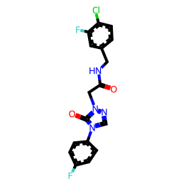 O=C(Cn1ncn(-c2ccc(F)cc2)c1=O)NCc1ccc(Cl)c(F)c1